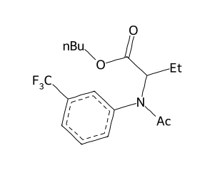 CCCCOC(=O)C(CC)N(C(C)=O)c1cccc(C(F)(F)F)c1